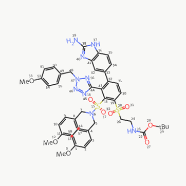 COc1ccc(CN(Cc2ccc(OC)cc2)S(=O)(=O)c2c(S(=O)(=O)CCNC(=O)OC(C)(C)C)ccc(-c3ccc4[nH]c(N)nc4c3)c2-c2nnn(Cc3ccc(OC)cc3)n2)cc1